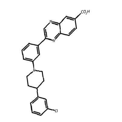 O=C(O)c1ccc2nc(-c3cccc(N4CCC(c5cccc(Cl)c5)CC4)c3)cnc2c1